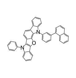 c1ccc(-n2c3ccccc3c3oc4c(ccc5c6ccccc6n(-c6cccc(-c7cccc8ccccc78)c6)c54)c32)cc1